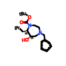 CC(C)C[C@H]1[C@@H](O)CN(Cc2ccccc2)CCN1C(=O)OC(C)(C)C